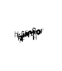 CN(CC(O)C(F)(F)F)c1nc2sc(C(=O)Nc3ccc(F)cc3)cc2s1